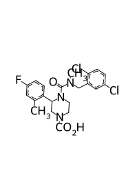 Cc1cc(F)ccc1C1CN(C(=O)O)CCN1C(=O)N(C)Cc1cc(Cl)ccc1Cl